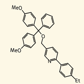 CCc1ccc(-c2ccc(COC(c3ccccc3)(c3ccc(OC)cc3)c3ccc(OC)cc3)cn2)cc1